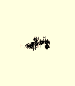 COCC(=O)N[C@@H](Cc1ccc(Nc2cc(-c3ccccc3)ncn2)cc1)[C@@H](O)CNC1(c2cccc(C(C)(C)C)c2)CC1